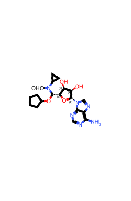 Nc1ncnc2c1ncn2[C@@H]1O[C@H](C(OC2CCCC2)N(C=O)C2CC2)[C@@H](O)[C@H]1O